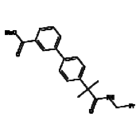 COC(=O)c1cccc(-c2ccc(C(C)(C)C(=O)NCC(C)C)cc2)c1